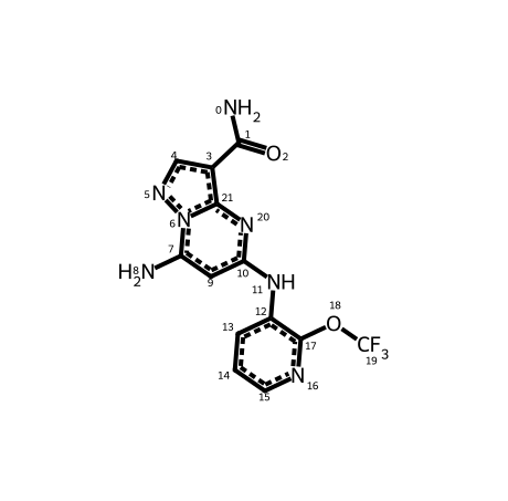 NC(=O)c1cnn2c(N)cc(Nc3cccnc3OC(F)(F)F)nc12